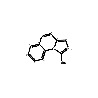 CC(C)(C)c1ncc2cnc3ccccc3n12